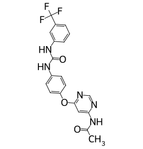 CC(=O)Nc1cc(Oc2ccc(NC(=O)Nc3cccc(C(F)(F)F)c3)cc2)ncn1